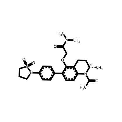 CC(=O)N1c2ccc(-c3ccc(N4CCCS4(=O)=O)cc3)c(OCC(=O)N(C)C)c2CC[C@@H]1C